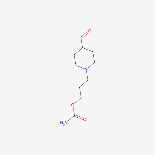 NC(=O)OCCCN1CCC(C=O)CC1